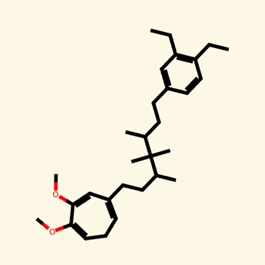 CCc1ccc(CCC(C)C(C)(C)C(C)CCC2=CCC=C(OC)C(OC)=C2)cc1CC